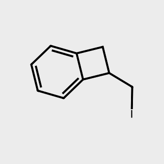 ICC1Cc2ccccc21